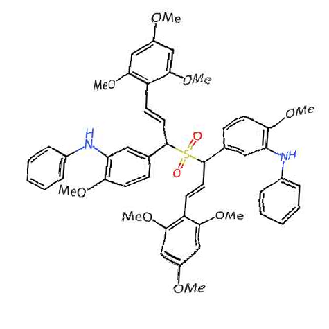 COc1cc(OC)c(C=CC(c2ccc(OC)c(Nc3ccccc3)c2)S(=O)(=O)C(C=Cc2c(OC)cc(OC)cc2OC)c2ccc(OC)c(Nc3ccccc3)c2)c(OC)c1